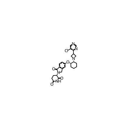 O=C1CC[C@@H](N2Cc3cc(O[C@@H]4CCCC[C@H]4N4CC(c5ncncc5Cl)C4)ccc3C2=O)C(=O)N1